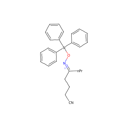 CCC/C(CCCC#N)=N\O[Si](c1ccccc1)(c1ccccc1)c1ccccc1